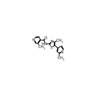 Cc1cc(-c2sc(NC(=O)c3ccncc3C)nc2C)ccn1